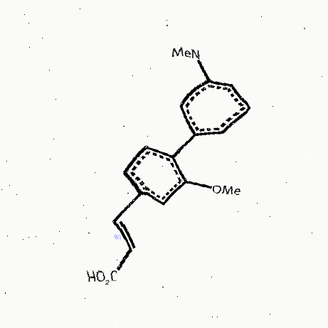 CNc1cccc(-c2ccc(/C=C/C(=O)O)cc2OC)c1